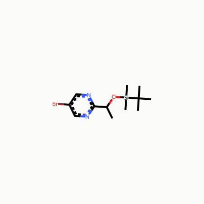 CC(O[Si](C)(C)C(C)(C)C)c1ncc(Br)cn1